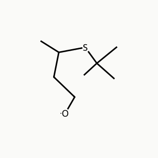 CC(CC[O])SC(C)(C)C